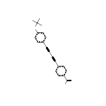 CC(C)(C)Oc1ccc(C#CC#Cc2ccc(C(=O)O)cc2)cc1